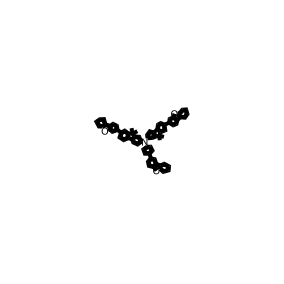 CC1(C)c2cc(-c3ccc4c(c3)oc3ccccc34)ccc2-c2ccc(N(c3ccc(-c4ccc5oc6ccccc6c5c4)cc3)c3ccc4c(c3)C(C)(C)c3cc(-c5ccc6c(c5)oc5ccccc56)ccc3-4)cc21